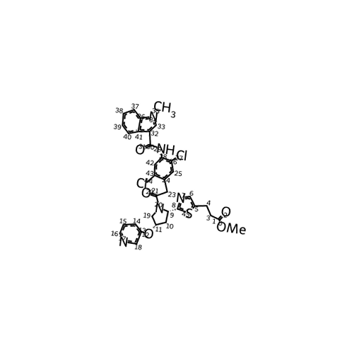 COC(=O)CCc1cnc([C@@H]2C[C@H](Oc3cccnc3)CN2C(=O)Cc2cc(Cl)c(NC(=O)c3cn(C)c4ccccc34)cc2Cl)s1